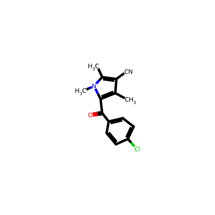 Cc1c(C#N)c(C)n(C)c1C(=O)c1ccc(Cl)cc1